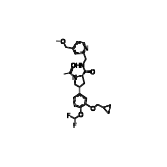 COCc1ccnc(CNC(=O)[C@H]2CC(c3ccc(OC(F)F)c(OCC4CC4)c3)CN2C(C)=O)c1